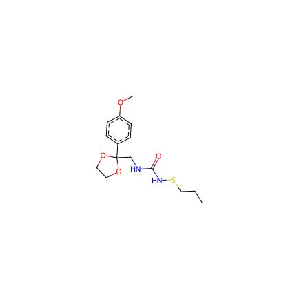 CCCSNC(=O)NCC1(c2ccc(OC)cc2)OCCO1